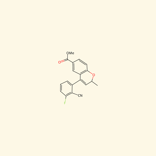 COC(=O)c1ccc2c(c1)C(c1cccc(F)c1C#N)=CC(C)O2